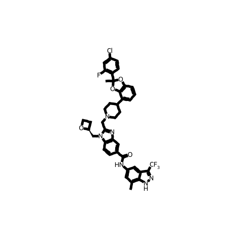 Cc1cc(NC(=O)c2ccc3c(c2)nc(CN2CCC(c4cccc5c4OC(C)(c4ccc(Cl)cc4F)O5)CC2)n3C[C@@H]2CCO2)cc2c(C(F)(F)F)n[nH]c12